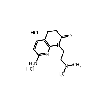 CN(C)CCN1C(=O)CCc2ccc(N)nc21.Cl.Cl